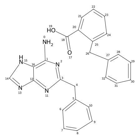 Nc1nc(Cc2ccccc2)nc2nc[nH]c12.O=C(O)c1ccccc1Cc1ccccc1